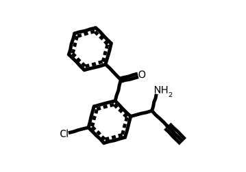 C#CC(N)c1ccc(Cl)cc1C(=O)c1ccccc1